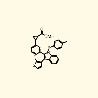 COC(=O)C1CC1c1cccc(-c2c(-c3ccsc3F)c3ccccc3n2Sc2ccc(C)cc2)c1